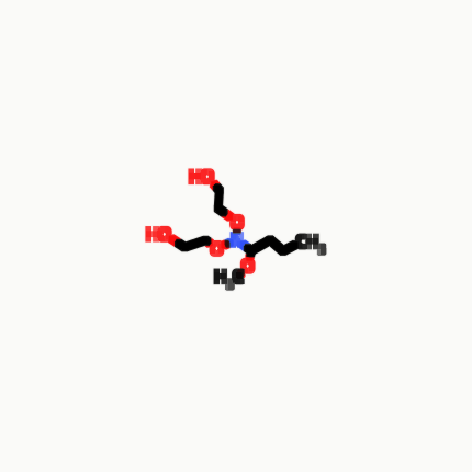 CCCC(OC)N(OCCO)OCCO